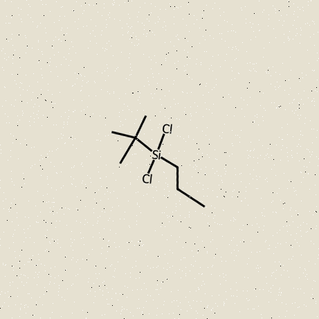 CCC[Si](Cl)(Cl)C(C)(C)C